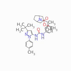 Cc1ccc(-n2nc(C(C)(C)C)cc2NC(=O)Nc2cccc(CC3CC4CCC(C3)N4C(=O)OC(C)(C)C)c2)cc1